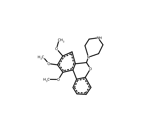 COc1cc2c(c(OC)c1OC)-c1ccccc1OC2N1CCNCC1